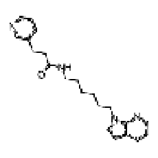 O=C(CCc1cccnc1)NCCCCCCn1ccc2cccnc21